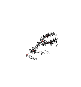 CCCCCCCC/C=C\CCCCCCCC(=O)OC[C@H](COC(=O)CCC(=O)OCCNC(=O)CNCCN(CCNC(=O)C(N)CCCNC(=N)N)CCNC(=O)C(N)CCCNC(=N)N)OC(=O)CCCCCCC/C=C\CCCCCCCC